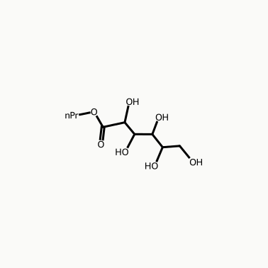 CCCOC(=O)C(O)C(O)C(O)C(O)CO